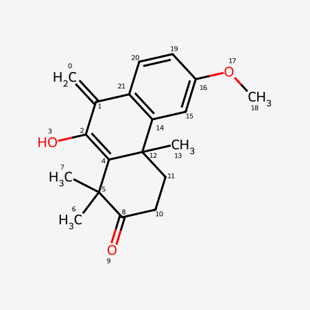 C=C1C(O)=C2C(C)(C)C(=O)CCC2(C)c2cc(OC)ccc21